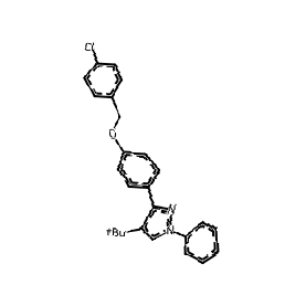 CC(C)(C)c1cn(-c2ccccc2)nc1-c1ccc(OCc2ccc(Cl)cc2)cc1